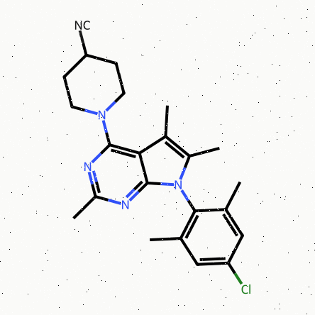 [C-]#[N+]C1CCN(c2nc(C)nc3c2c(C)c(C)n3-c2c(C)cc(Cl)cc2C)CC1